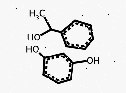 CC(O)c1ccccc1.Oc1cccc(O)c1